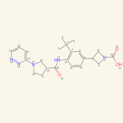 CC(C)(C)c1cc(C2CN(C(=O)O)C2)ccc1NC(=O)C1CCN(c2cccnn2)C1